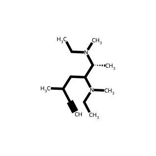 C#CC(C)CC([C@@H](C)N(C)CC)N(C)CC